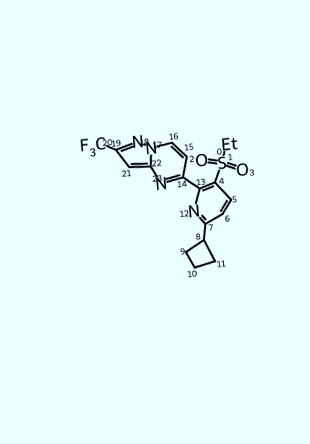 CCS(=O)(=O)c1ccc(C2CCC2)nc1-c1ccn2nc(C(F)(F)F)cc2n1